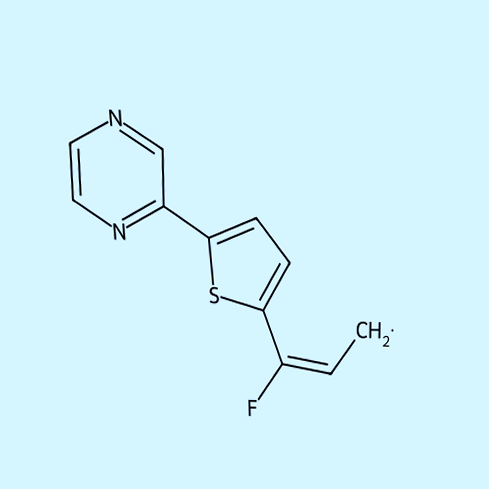 [CH2]/C=C(/F)c1ccc(-c2cnccn2)s1